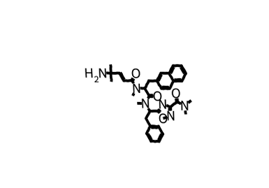 CN(C)C(=O)c1noc(C(Cc2ccccc2)N(C)C(=O)C(Cc2ccc3ccccc3c2)N(C)C(=O)C=CC(C)(C)N)n1